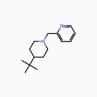 CC(C)(C)C1CCN(Cc2ccccn2)CC1